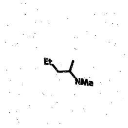 [CH2-][NH2+]C(C)CCC